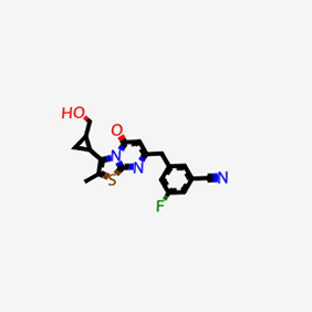 Cc1sc2nc(Cc3cc(F)cc(C#N)c3)cc(=O)n2c1C1CC1CO